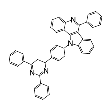 C1=CC(n2c3ccccc3c3c(-c4ccccc4)nc4ccccc4c32)CC=C1C1CC(c2ccccc2)=NC(c2ccccc2)=N1